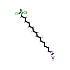 C[Si](Cl)(Cl)CCCCCCCCCCCCCCCN=C=O